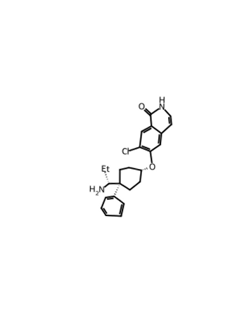 CC[C@@H](N)[C@]1(c2ccccc2)CC[C@@H](Oc2cc3cc[nH]c(=O)c3cc2Cl)CC1